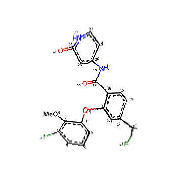 COc1c(F)cccc1Oc1cc(CF)ccc1C(=O)Nc1cc[nH]c(=O)c1